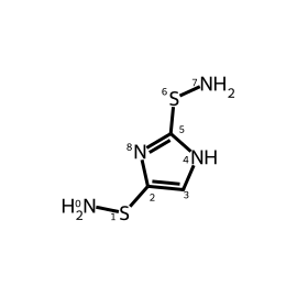 NSc1c[nH]c(SN)n1